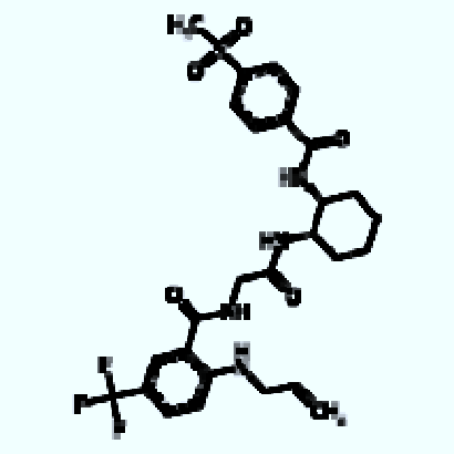 C=CCNc1ccc(C(F)(F)F)cc1C(=O)NCC(=O)N[C@@H]1CCCC[C@@H]1NC(=O)c1ccc(S(C)(=O)=O)cc1